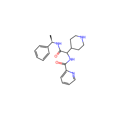 C[C@@H](NC(=O)C(NC(=O)c1ccccn1)C1CCNCC1)c1ccccc1